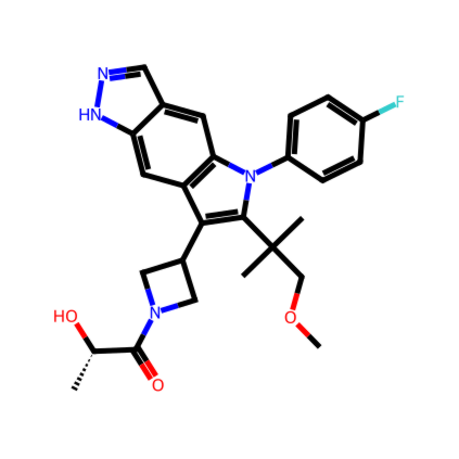 COCC(C)(C)c1c(C2CN(C(=O)[C@H](C)O)C2)c2cc3[nH]ncc3cc2n1-c1ccc(F)cc1